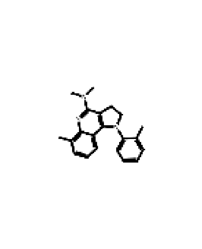 Cc1ccccc1N1CCc2c(N(C)C)nc3c(C)cccc3c21